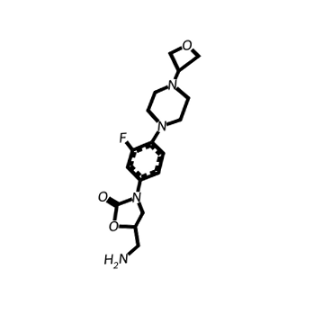 NCC1CN(c2ccc(N3CCN(C4COC4)CC3)c(F)c2)C(=O)O1